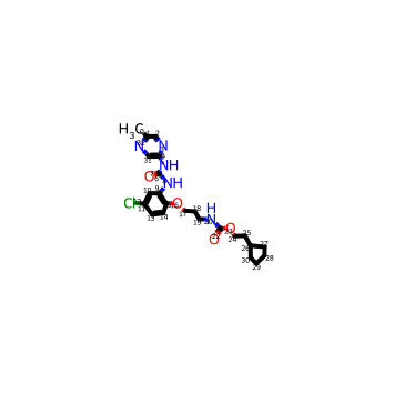 Cc1cnc(NC(=O)Nc2cc(Cl)ccc2OCCCNC(=O)OCCC2CCCC2)cn1